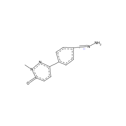 Cn1nc(-c2ccc(/[C]=N/N)cc2)ccc1=O